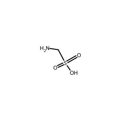 NCS(=O)(=O)O